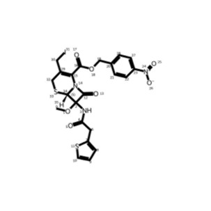 COC1(NC(=O)Cc2cccs2)C(=O)N2C(C(=O)OCc3ccc([N+](=O)[O-])cc3)=C(CI)CS[C@H]21